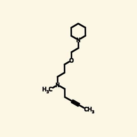 CC#CCCN(C)CCCOCCN1CCCCC1